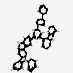 c1ccc(-c2ccc(-c3nc(-c4ccc5oc6cc7c8ccccc8n(-c8ccccc8)c7cc6c5c4)nc(-c4cccc5oc6ccccc6c45)n3)cc2)cc1